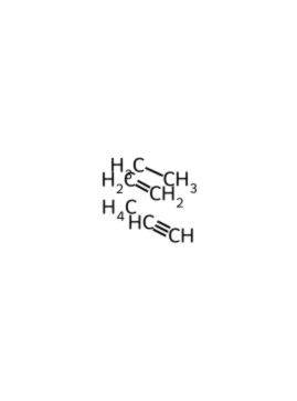 C.C#C.C=C.CC